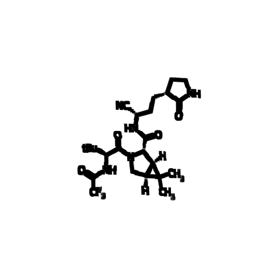 CC(C)(C)[C@H](NC(=O)C(F)(F)F)C(=O)N1C[C@H]2[C@@H]([C@H]1C(=O)N[C@H](C#N)CC[C@@H]1CCNC1=O)C2(C)C